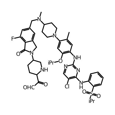 Cc1cc(Nc2ncc(Cl)c(Nc3ccccc3S(=O)(=O)C(C)C)n2)c(OC(C)C)cc1N1CCC(N(C)Cc2cc(F)c3c(c2)CN(C2CCC(C(=O)C=O)NC2)C3=O)CC1